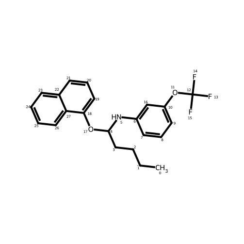 C[CH]CCC(Nc1cccc(OC(F)(F)F)c1)Oc1cccc2ccccc12